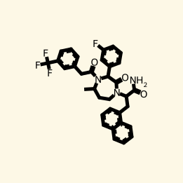 CC1CCN(C(Cc2cccc3ccccc23)C(N)=O)C(=O)C(c2cccc(F)c2)N1C(=O)Cc1cccc(C(F)(F)F)c1